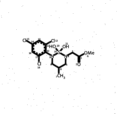 COC(=O)CN1CC(C)CN(c2c(Cl)cc(Cl)cc2Cl)S1(O)O